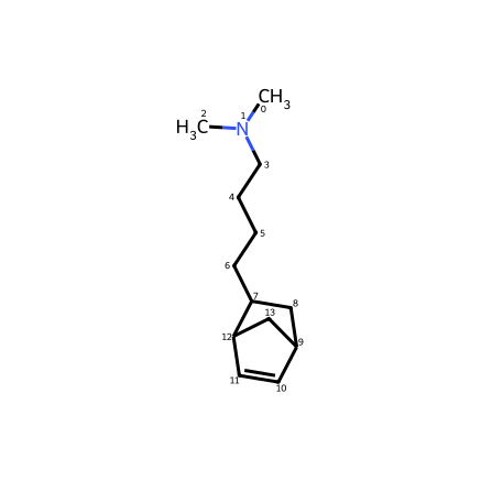 CN(C)CCCCC1CC2C=CC1C2